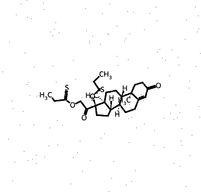 CCC(=S)OCC(=O)[C@@]1(OC(=S)CC)CC[C@H]2[C@@H]3CCC4=CC(=O)CC[C@]4(C)[C@H]3CC[C@@]21C